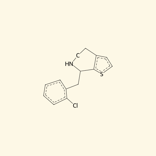 Clc1ccccc1CC1NCCc2ccsc21